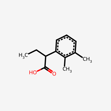 CCC(C(=O)O)c1cccc(C)c1C